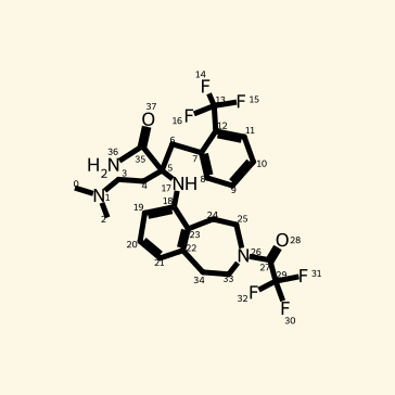 CN(C)CCC(Cc1ccccc1C(F)(F)F)(Nc1cccc2c1CCN(C(=O)C(F)(F)F)CC2)C(N)=O